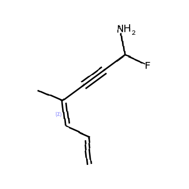 C=C/C=C(/C)C#CC(N)F